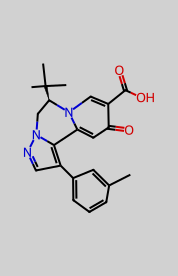 Cc1cccc(-c2cnn3c2-c2cc(=O)c(C(=O)O)cn2[C@H](C(C)(C)C)C3)c1